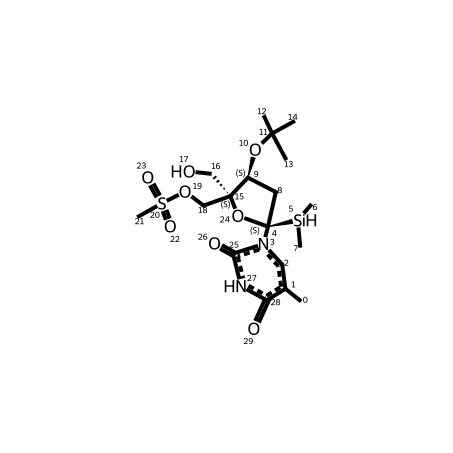 Cc1cn([C@@]2([SiH](C)C)C[C@H](OC(C)(C)C)[C@](CO)(COS(C)(=O)=O)O2)c(=O)[nH]c1=O